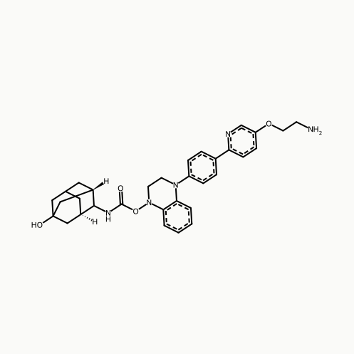 NCCOc1ccc(-c2ccc(N3CCN(OC(=O)NC4[C@@H]5CC6C[C@H]4CC(O)(C6)C5)c4ccccc43)cc2)nc1